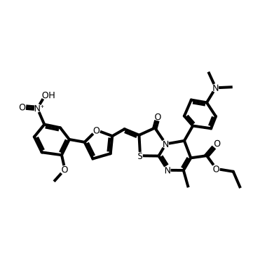 CCOC(=O)C1=C(C)N=c2s/c(=C\c3ccc(-c4cc([N+](=O)O)ccc4OC)o3)c(=O)n2C1c1ccc(N(C)C)cc1